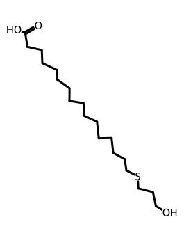 O=C(O)CCCCCCCCCCCCCCCSCCCO